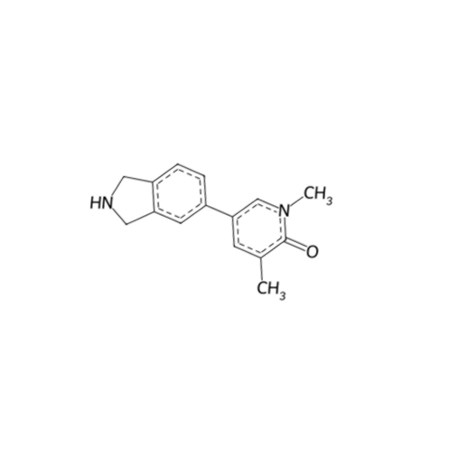 Cc1cc(-c2ccc3c(c2)CNC3)cn(C)c1=O